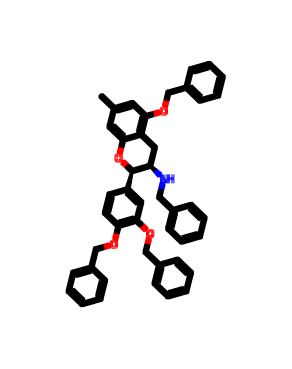 Cc1cc(OCc2ccccc2)c2c(c1)O[C@H](c1ccc(OCc3ccccc3)c(OCc3ccccc3)c1)[C@H](NCc1ccccc1)C2